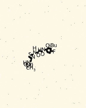 CC(C)COc1cc(F)ccc1NC(=O)CC(=O)Nc1nc(CNS(C)(=O)=O)cs1